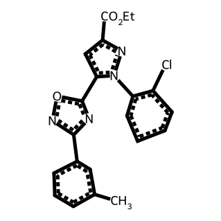 CCOC(=O)c1cc(-c2nc(-c3cccc(C)c3)no2)n(-c2ccccc2Cl)n1